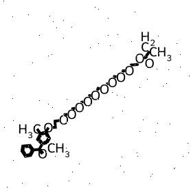 C=C(C)C(=O)OCCOCOCOCOCOCOCOCOCOCCOc1cc(C)c(C(=O)c2ccccc2)cc1C